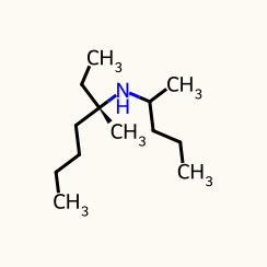 CCCC[C@](C)(CC)NC(C)CCC